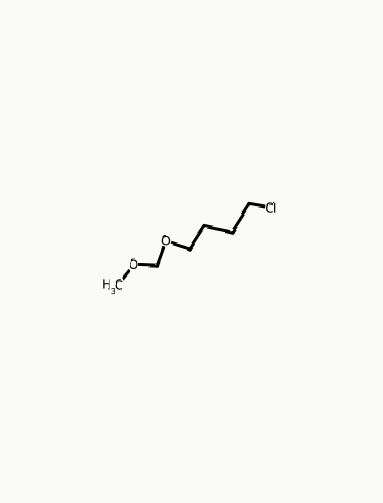 COCOCCCCCl